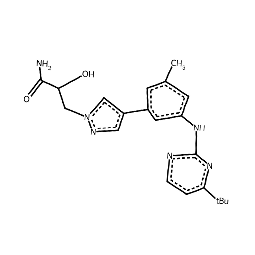 Cc1cc(Nc2nccc(C(C)(C)C)n2)cc(-c2cnn(CC(O)C(N)=O)c2)c1